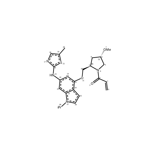 C=CC(=O)N1C[C@@H](OC)C[C@@H]1COc1nc(Nc2ncc(C)s2)cc2c1ccn2C(C)C